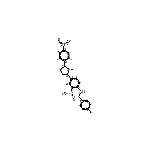 Cc1ccc(CNc2ccc(C3CCC(c4ccc([N+](=O)[O-])cc4)N3)cc2[N+](=O)[O-])cc1